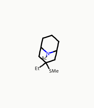 CCC1(SC)CC2CCCC(C1)N2C(C)=O